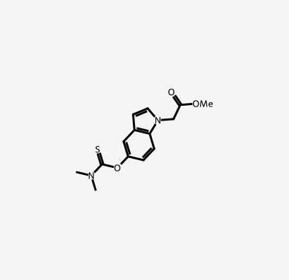 COC(=O)Cn1ccc2cc(OC(=S)N(C)C)ccc21